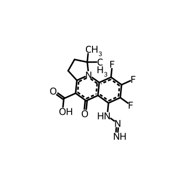 CC1(C)CCc2c(C(=O)O)c(=O)c3c(NN=N)c(F)c(F)c(F)c3n21